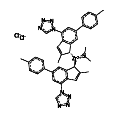 CC1=Cc2c(cc(-c3ccc(C)cc3)cc2-n2cnnn2)[C@@H]1[Zr+2]([C@H]1C(C)=Cc2c1cc(-c1ccc(C)cc1)cc2-n1cnnn1)=[Si](C)C.[Cl-].[Cl-]